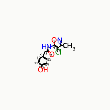 Cc1noc(NC(=O)Cc2ccc(O)cc2)c1Cl